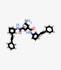 Nc1cc(C(=O)Nc2cccc(C#CC3CCCCC3)c2)cc(C(=O)Nc2cccc(C#CC3CCCCC3)c2)c1